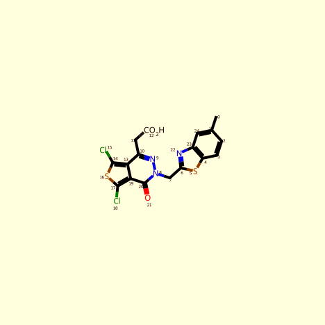 Cc1ccc2sc(Cn3nc(CC(=O)O)c4c(Cl)sc(Cl)c4c3=O)nc2c1